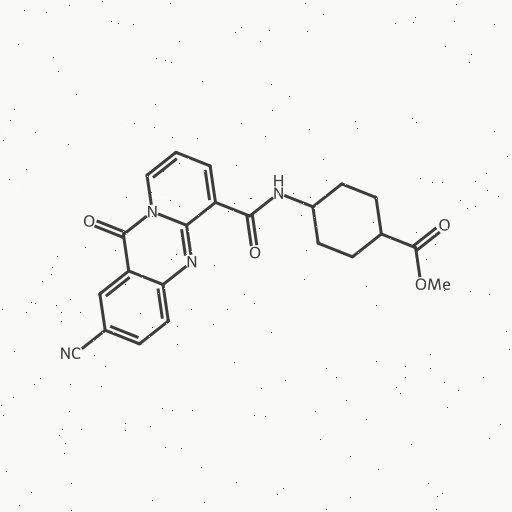 COC(=O)C1CCC(NC(=O)c2cccn3c(=O)c4cc(C#N)ccc4nc23)CC1